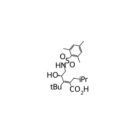 Cc1cc(C)c(S(=O)(=O)NC[C@H](O)C(=C(CC(C)C)C(=O)O)C(C)(C)C)c(C)c1